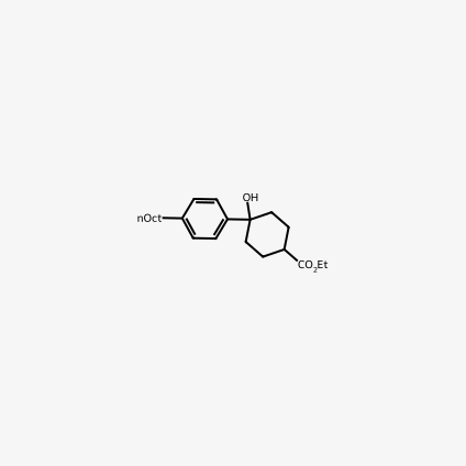 CCCCCCCCc1ccc(C2(O)CCC(C(=O)OCC)CC2)cc1